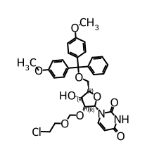 COc1ccc(C(OC[C@H]2O[C@@H](n3ccc(=O)[nH]c3=O)[C@H](OCOCCCl)[C@@H]2O)(c2ccccc2)c2ccc(OC)cc2)cc1